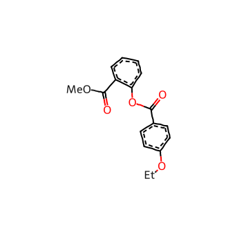 CCOc1ccc(C(=O)Oc2ccccc2C(=O)OC)cc1